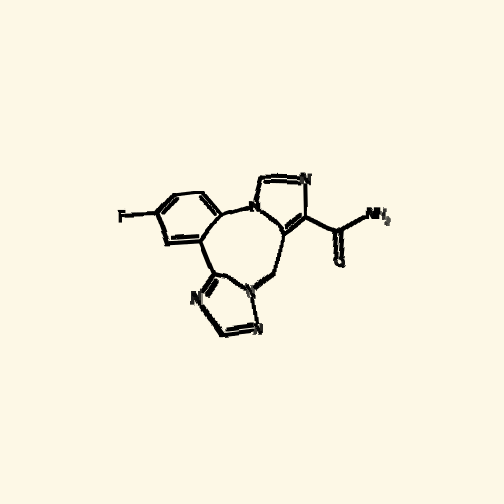 NC(=O)c1ncn2c1Cn1ncnc1-c1cc(F)ccc1-2